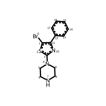 Brc1sc(N2CCNCC2)nc1-c1ccccc1